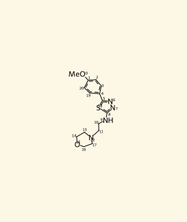 COc1ccc(-c2nnc(NCCN3CCOCC3)s2)cc1